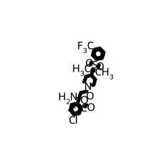 CC(C)(C1CCN(C(=O)C[C@@](N)(OC(=O)C(F)(F)F)c2ccc(Cl)cc2)CC1)S(=O)(=O)c1cccc(C(F)(F)F)c1